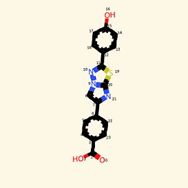 O=C(O)c1ccc(-c2cn3nc(-c4ccc(O)cc4)sc3n2)cc1